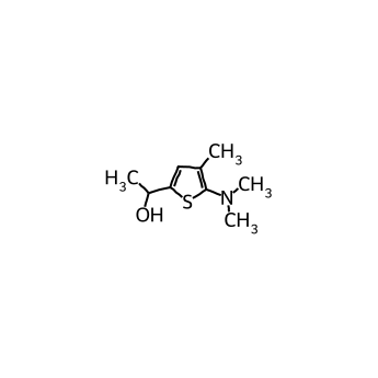 Cc1cc(C(C)O)sc1N(C)C